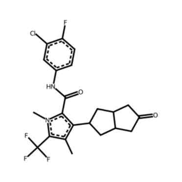 Cc1c(C2CC3CC(=O)CC3C2)c(C(=O)Nc2ccc(F)c(Cl)c2)n(C)c1C(F)(F)F